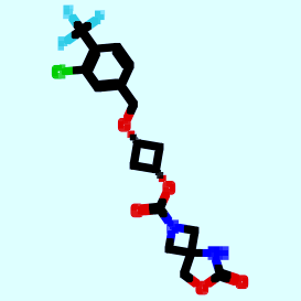 O=C1NC2(CO1)CN(C(=O)O[C@H]1C[C@@H](OCc3ccc(C(F)(F)F)c(Cl)c3)C1)C2